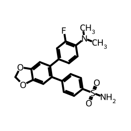 CN(C)c1ccc(-c2cc3c(cc2-c2ccc(S(N)(=O)=O)cc2)OCO3)cc1F